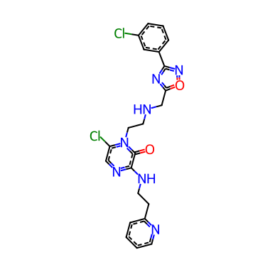 O=c1c(NCCc2ccccn2)ncc(Cl)n1CCNCc1nc(-c2cccc(Cl)c2)no1